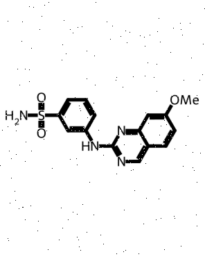 COc1ccc2cnc(Nc3cccc(S(N)(=O)=O)c3)nc2c1